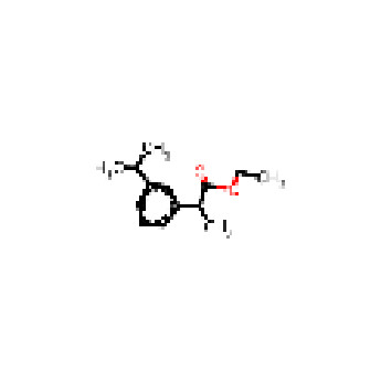 CCOC(=O)C(C)c1cccc(C(C)C)c1